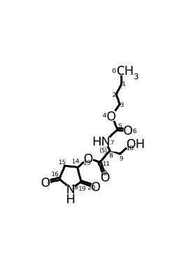 CCCCOC(=O)N[C@@H](CO)C(=O)OC1CC(=O)NC1=O